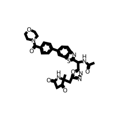 CC(=O)NC(c1nnc(CC2(C)NC(=O)CC2=O)o1)c1nc2ccc(-c3ccc(C(=O)N4CCOCC4)cc3)cc2s1